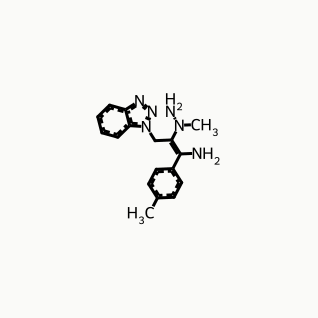 Cc1ccc(/C(N)=C(\Cn2nnc3ccccc32)N(C)N)cc1